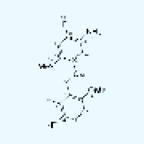 COc1ccc(F)c(F)c1COc1cc(N)c(F)cc1SC